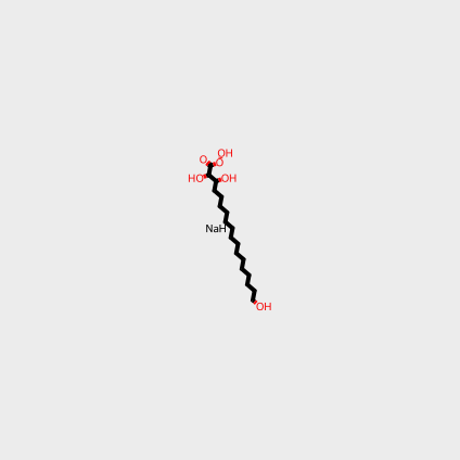 O=C(OO)C(O)C(O)CCCCCCCCCCCCCCCO.[NaH]